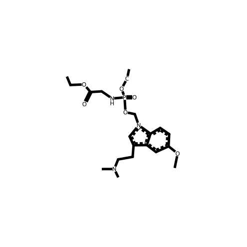 CCOC(=O)CNP(=O)(OCC)OCn1cc(CCN(C)C)c2cc(OC)ccc21